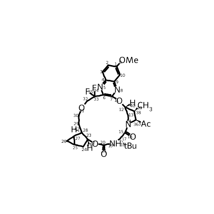 COc1ccc2nc3c(nc2c1)O[C@H]1CN(C(=O)[C@H](C(C)(C)C)NC(=O)O[C@@H]2CC4CC4[C@H]2CCOCC3(F)F)[C@H](C(C)=O)[C@@H]1C